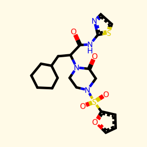 O=C(Nc1nccs1)C(CC1CCCCC1)N1CCN(S(=O)(=O)c2ccco2)CC1=O